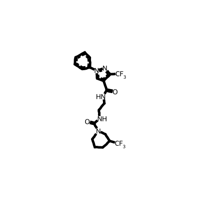 O=C(NCCNC(=O)N1CCCC(C(F)(F)F)C1)c1cn(-c2ccccc2)nc1C(F)(F)F